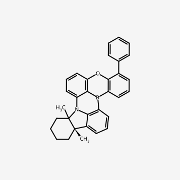 CC12CCCC[C@@]1(C)c1cccc3c1N2c1cccc2c1B3c1cccc(-c3ccccc3)c1O2